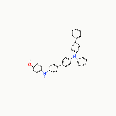 COc1ccc(N(C)c2ccc(-c3ccc(N(c4ccccc4)c4ccc(-c5ccccc5)cc4)cc3)cc2)cc1